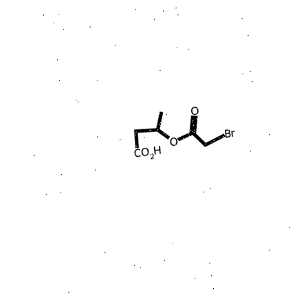 CC(CC(=O)O)OC(=O)CBr